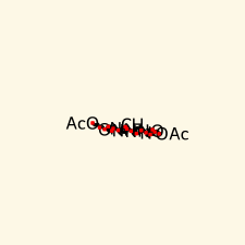 CC(=O)OCCCCOc1ccc(N=Nc2ccc(N=Nc3ccc(N=Nc4ccc(OCOC(C)=O)cc4)cc3)c(C)c2)cc1